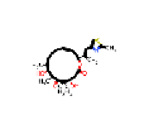 C/C(=C\c1csc(C)n1)[C@@H]1C/C=C\CCC[C@H](C)[C@H](O)[C@@H](C)C(=O)C(C)(C)[C@@H](O)CC(=O)O1